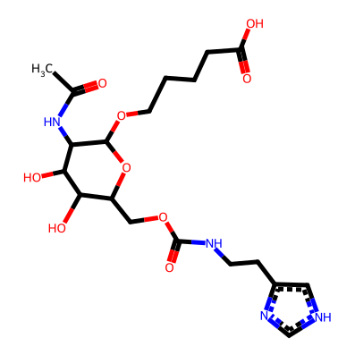 CC(=O)NC1C(OCCCCC(=O)O)OC(COC(=O)NCCc2c[nH]cn2)C(O)C1O